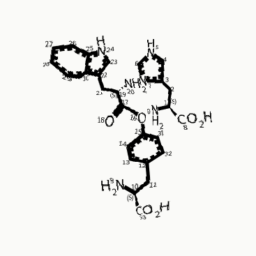 N[C@@H](Cc1c[nH]cn1)C(=O)O.N[C@@H](Cc1ccc(OC(=O)[C@@H](N)Cc2c[nH]c3ccccc23)cc1)C(=O)O